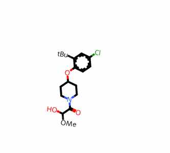 COC(O)C(=O)N1CCC(Oc2ccc(Cl)cc2C(C)(C)C)CC1